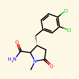 CN1C(=O)C[C@@H](Cc2ccc(Cl)c(Cl)c2)C1C(N)=O